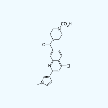 Cn1ccc(-c2cc(Cl)c3ccc(C(=O)N4CCN(C(=O)O)CC4)cc3n2)c1